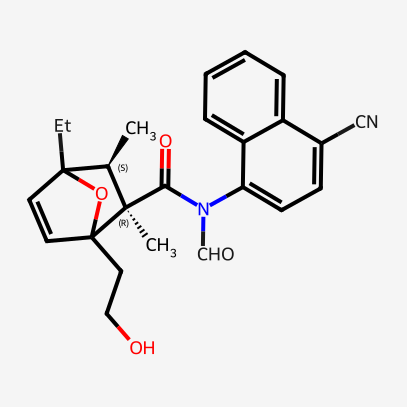 CCC12C=CC(CCO)(O1)[C@](C)(C(=O)N(C=O)c1ccc(C#N)c3ccccc13)[C@@H]2C